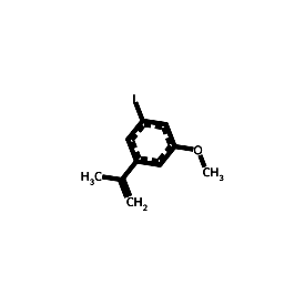 C=C(C)c1cc(I)cc(OC)c1